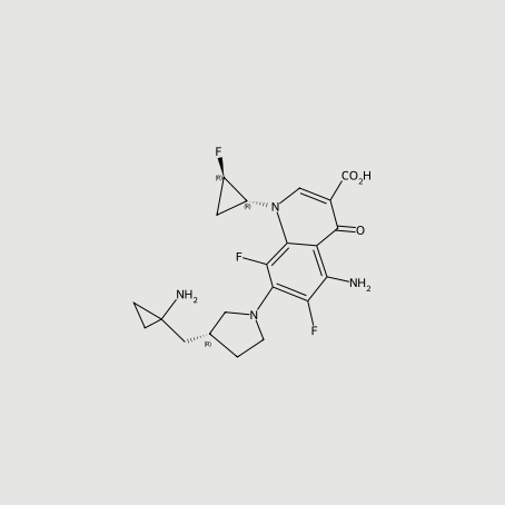 Nc1c(F)c(N2CC[C@H](CC3(N)CC3)C2)c(F)c2c1c(=O)c(C(=O)O)cn2[C@@H]1C[C@H]1F